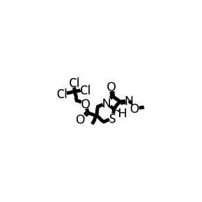 CON=C1C(=O)N2CC(C)(C(=O)OCC(Cl)(Cl)Cl)CS[C@H]12